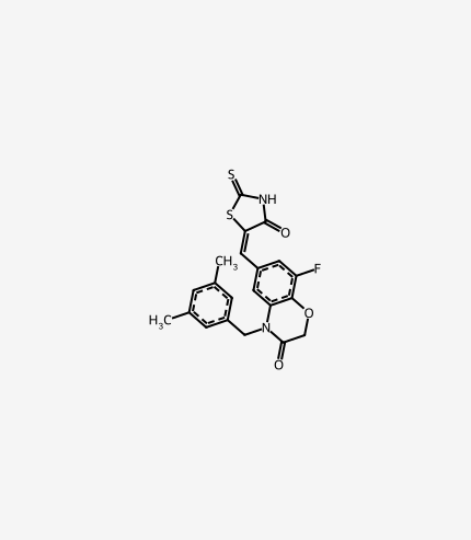 Cc1cc(C)cc(CN2C(=O)COc3c(F)cc(C=C4SC(=S)NC4=O)cc32)c1